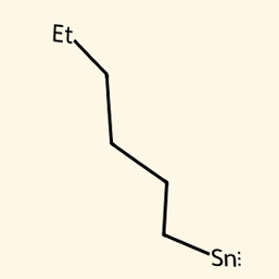 CCCCC[CH2][Sn]